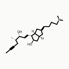 CC#CC[C@H](C)[C@H](O)/C=C/[C@@H]1[C@H]2C/C(=C/CCCN(C)C)C[C@H]2C[C@H]1O